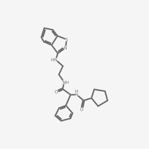 O=C(NC(C(=O)NCCNc1nsc2ccccc12)c1ccccc1)C1CCCC1